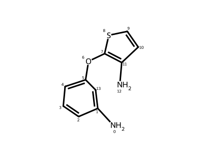 Nc1cccc(Oc2sccc2N)c1